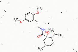 COc1ccc(OC)c(CCNC(=O)[C@]2(O)C[C@H](C)CC[C@H]2C(C)C)c1